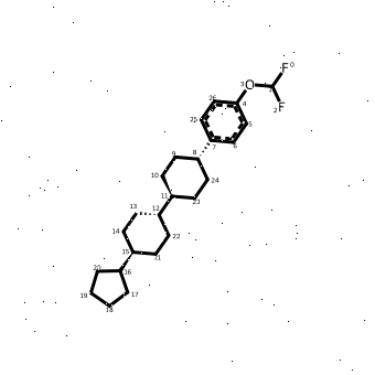 FC(F)Oc1ccc([C@H]2CC[C@H]([C@H]3CC[C@H](C4CCCC4)CC3)CC2)cc1